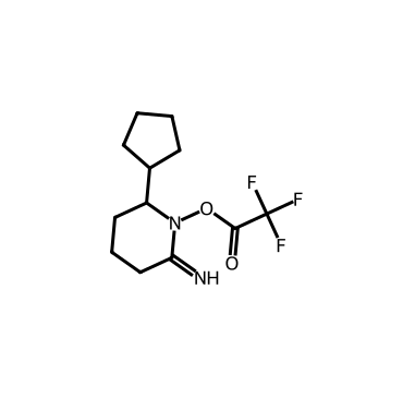 N=C1CCCC(C2CCCC2)N1OC(=O)C(F)(F)F